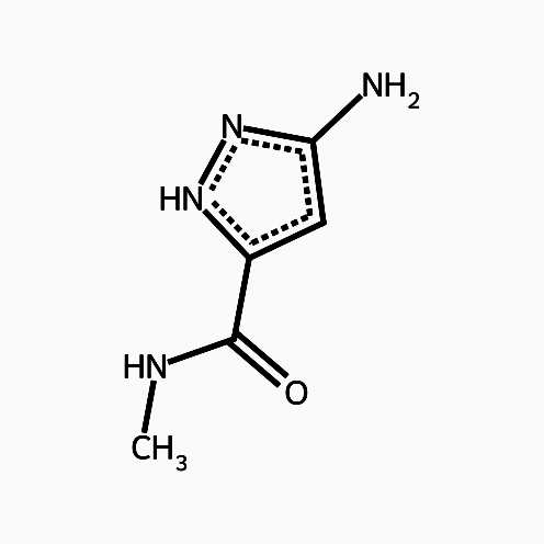 CNC(=O)c1cc(N)n[nH]1